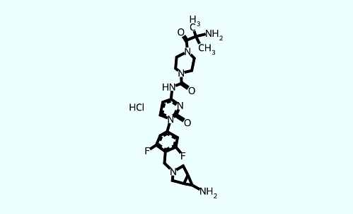 CC(C)(N)C(=O)N1CCN(C(=O)Nc2ccn(-c3cc(F)c(CN4CC5C(N)C5C4)c(F)c3)c(=O)n2)CC1.Cl